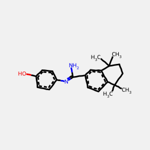 CC1(C)CCC(C)(C)c2cc(C(N)=Nc3ccc(O)cc3)ccc21